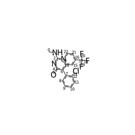 CNc1nc(=O)c(-c2ccccc2Cl)c2cc(C(F)(F)F)ccn12